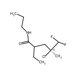 CCCNC(=O)C(CC)C[C@](C)(Cl)C(F)F